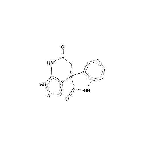 O=C1CC2(C(=O)Nc3ccccc32)c2nn[nH]c2N1